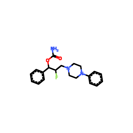 NC(=O)OC(c1ccccc1)C(F)CN1CCN(c2ccccc2)CC1